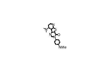 CNc1ccc(-n2cnc3c(sc4nccc(N(C)C)c43)c2=O)cc1